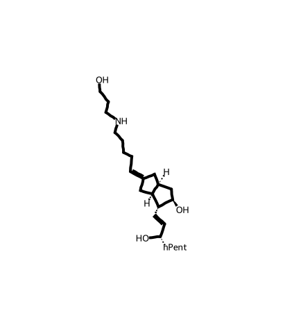 CCCCC[C@H](O)/C=C/[C@@H]1[C@H]2C/C(=C/CCCCNCCCO)C[C@H]2C[C@H]1O